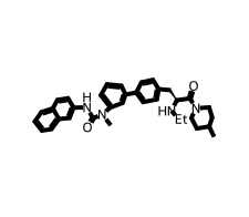 CCN[C@@H](Cc1ccc(-c2cccc(N(C)C(=O)Nc3ccc4ccccc4c3)c2)cc1)C(=O)N1CCC(C)CC1